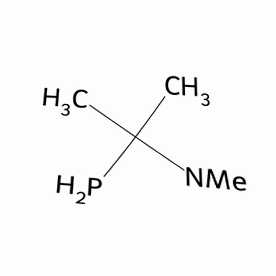 CNC(C)(C)P